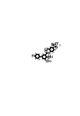 CC(C)(C)c1cc(-c2ccc(F)cc2)cc(C(=O)Nc2ccc(S(=O)(=O)C(F)(F)F)cc2Cl)c1O